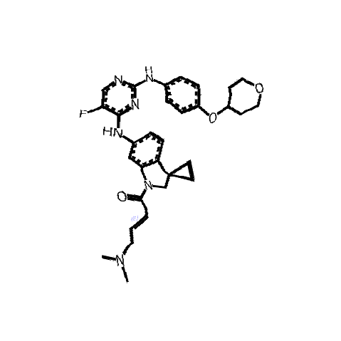 CN(C)C/C=C/C(=O)N1CC2(CC2)c2ccc(Nc3nc(Nc4ccc(OC5CCOCC5)cc4)ncc3F)cc21